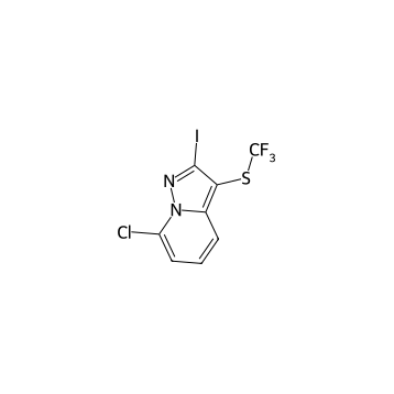 FC(F)(F)Sc1c(I)nn2c(Cl)cccc12